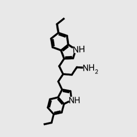 CCc1ccc2c(CC(CCN)Cc3c[nH]c4cc(CC)ccc34)c[nH]c2c1